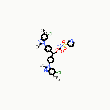 CCc1nc2cc(C(F)(F)F)c(Cl)cc2n1-c1ccc(C(COC(=O)NS(=O)(=O)c2cccnc2)c2ccc(-n3c(CC)nc4cc(C(F)(F)F)c(Cl)cc43)cc2)cc1